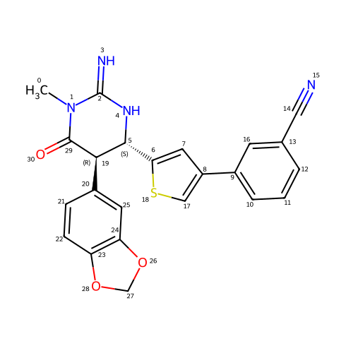 CN1C(=N)N[C@H](c2cc(-c3cccc(C#N)c3)cs2)[C@@H](c2ccc3c(c2)OCO3)C1=O